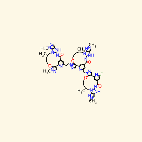 C[C@@H]1CCCOc2c(cnn2Cc2cc3cc(n2)-c2cnn(CCc4cc5cc(n4)-c4cnn(C)c4OCCC[C@@H](C)CN4/C(=N/C5=O)Nc5cnn(C)c54)c2OCCC[C@@H](C)CN2/C(=N/C3=O)Nc3cn(C)nc32)-c2cc(cc(F)n2)C(=O)/N=C2\Nc3cn(C)nc3N2C1